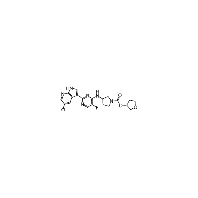 O=C(OC1CCOC1)N1CCC(Nc2nc(-c3c[nH]c4ncc(Cl)cc34)ncc2F)C1